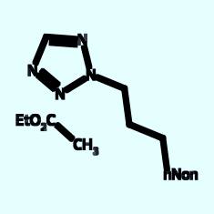 CCCCCCCCCCCCn1ncnn1.CCOC(C)=O